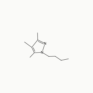 CCCCn1nc(C)c(C)c1C